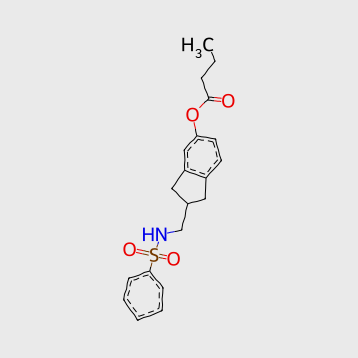 CCCC(=O)Oc1ccc2c(c1)CC(CNS(=O)(=O)c1ccccc1)C2